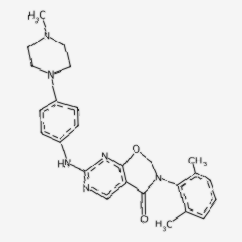 Cc1cccc(C)c1N1COc2nc(Nc3ccc(N4CCN(C)CC4)cc3)ncc2C1=O